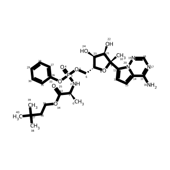 C[C@H](NP(=O)(OC[C@H]1O[C@@](C)(c2ccc3c(N)ncnn23)[C@H](O)[C@@H]1O)Oc1ccccc1)C(=O)OCCC(C)(C)C